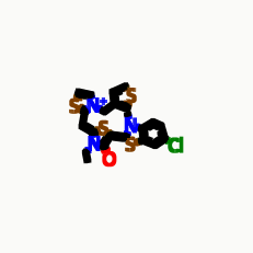 CCn1c(=O)/c(=C2\Sc3cc(Cl)ccc3N2C)s/c1=C\c1scc[n+]1Cc1ccsc1